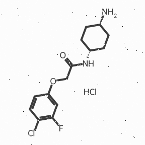 Cl.N[C@H]1CC[C@H](NC(=O)COc2ccc(Cl)c(F)c2)CC1